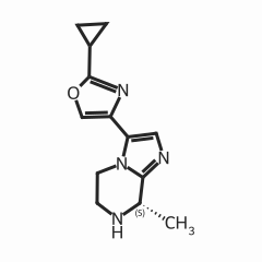 C[C@@H]1NCCn2c(-c3coc(C4CC4)n3)cnc21